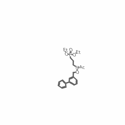 CCOP(=O)(CCCN(OCc1cccc(-c2ccccc2)c1)C(C)=O)OCC